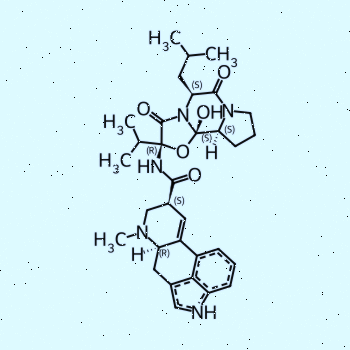 CC(C)C[C@H]1C(=O)N2CCC[C@H]2[C@]2(O)O[C@](NC(=O)[C@H]3C=C4c5cccc6[nH]cc(c56)C[C@H]4N(C)C3)(C(C)C)C(=O)N12